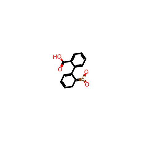 O=C(O)c1ccccc1C1=CC=CCC1=S(=O)=O